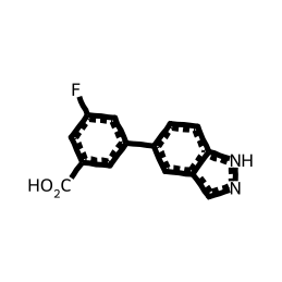 O=C(O)c1cc(F)cc(-c2ccc3[nH]ncc3c2)c1